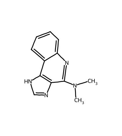 CN(C)c1nc2ccccc2c2[nH]cnc12